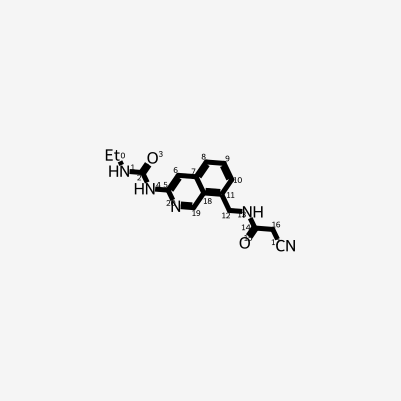 CCNC(=O)Nc1cc2cccc(CNC(=O)CC#N)c2cn1